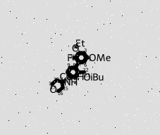 CCOc1cc(OC)cc(-c2ccc(NC3(C(=O)O)CCOCC3)cc2COCC(C)C)c1F